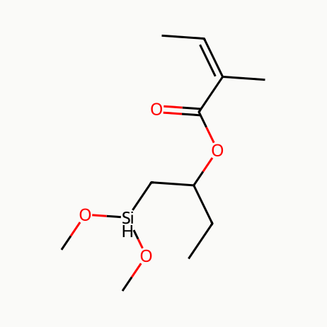 CC=C(C)C(=O)OC(CC)C[SiH](OC)OC